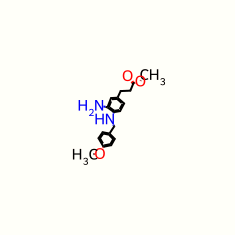 COC(=O)CCc1ccc(NCc2ccc(OC)cc2)c(N)c1